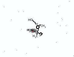 CCc1cc(CCC(CC)c2cccs2)ccc1OCCCCO.CN.CN.CN